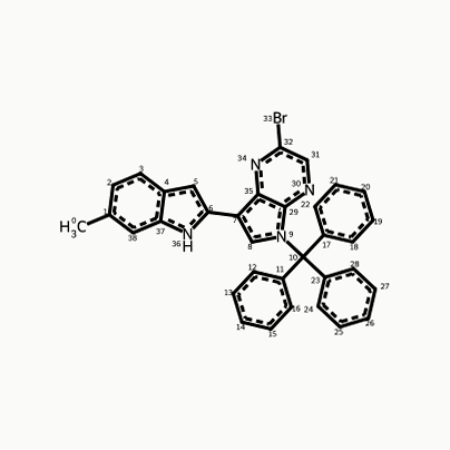 Cc1ccc2cc(-c3cn(C(c4ccccc4)(c4ccccc4)c4ccccc4)c4ncc(Br)nc34)[nH]c2c1